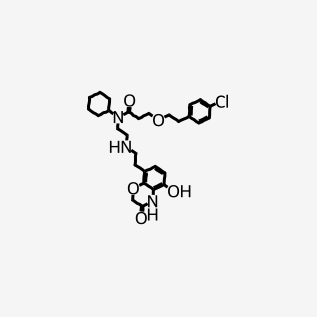 O=C1COc2c(CCNCCN(C(=O)CCOCCc3ccc(Cl)cc3)C3CCCCC3)ccc(O)c2N1